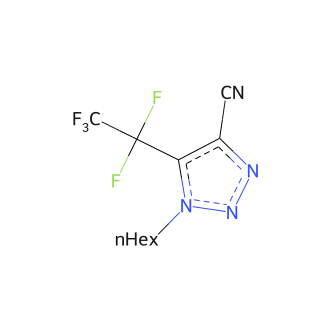 CCCCCCn1nnc(C#N)c1C(F)(F)C(F)(F)F